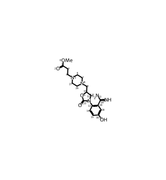 COC(=O)CCN1CCN(CC2CN(c3ccc(O)cc3C(=N)N)C(=O)O2)CC1